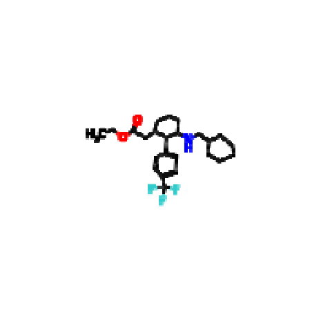 CCOC(=O)CC1CCCC(NCC2CCCCC2)C1c1ccc(C(F)(F)F)cc1